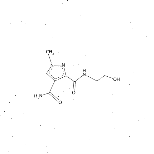 Cn1cc(C(N)=O)c(C(=O)NCCO)n1